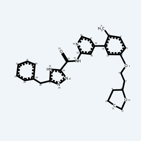 Cc1ccc(OCCC2CCCCO2)cc1-c1ccnc(NC(=O)c2nnc(Cc3ccccc3)[nH]2)c1